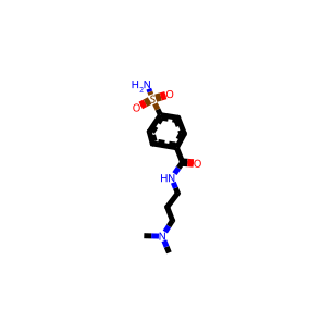 CN(C)CCCNC(=O)c1ccc(S(N)(=O)=O)cc1